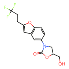 O=C1OC(CO)CN1c1ccc2oc(CCC(F)(F)F)cc2c1